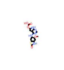 COc1cc2[nH]c(=O)sc2cc1Nc1ncnc2[nH]c(OC(=O)O)cc12